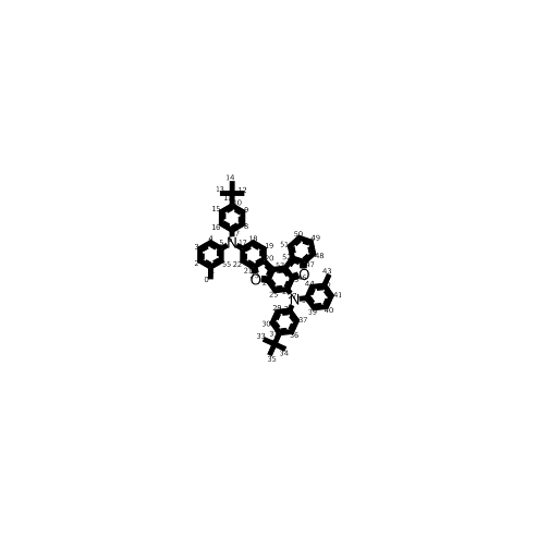 Cc1cccc(N(c2ccc(C(C)(C)C)cc2)c2ccc3c(c2)oc2cc(N(c4ccc(C(C)(C)C)cc4)c4cccc(C)c4)c4oc5ccccc5c4c23)c1